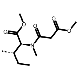 CC[C@H](C)[C@@H](C(=O)OC)N(C)C(=O)CC(=O)OC